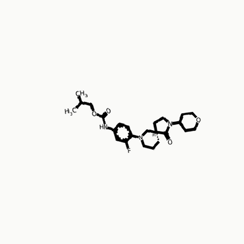 CC(C)COC(=O)Nc1ccc(N2CCC[C@@]3(CCN(C4CCOCC4)C3=O)C2)c(F)c1